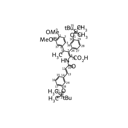 COc1ccc(C(C)/C(=C(\NC(=O)/C=C/c2cccc(O[Si](C)(C)C(C)(C)C)c2)C(=O)O)c2cccc(O[Si](C)(C)C(C)(C)C)c2)cc1OC